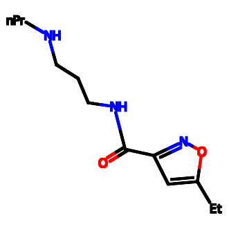 CCCNCCCNC(=O)c1cc(CC)on1